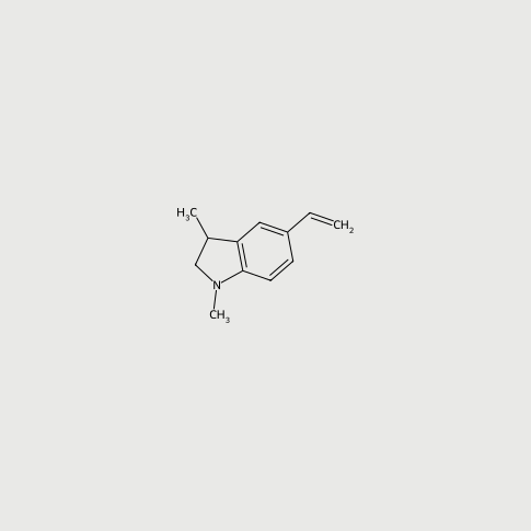 C=Cc1ccc2c(c1)C(C)CN2C